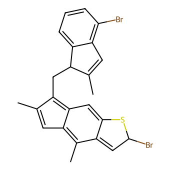 CC1=Cc2c(C)c3c(cc2=C1CC1C(C)=Cc2c(Br)cccc21)SC(Br)C=3